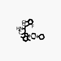 Cc1ccc(C)c(C2(CCN3CCN(C4CCCCC4)CC3)CCCNC(C(=O)Cc3c(F)cccc3Cl)C2)c1